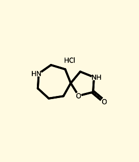 Cl.O=C1NCC2(CCCNCC2)O1